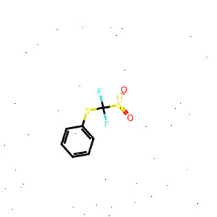 O=[SH](=O)C(F)(F)Sc1ccccc1